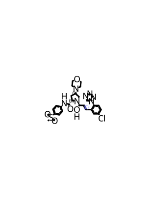 CS(=O)(=O)c1ccc(NC(=O)[C@@H]2C[C@H](N3CCOCC3)CN2C(O)/C=C/c2cc(Cl)ccc2-n2cnnn2)cc1